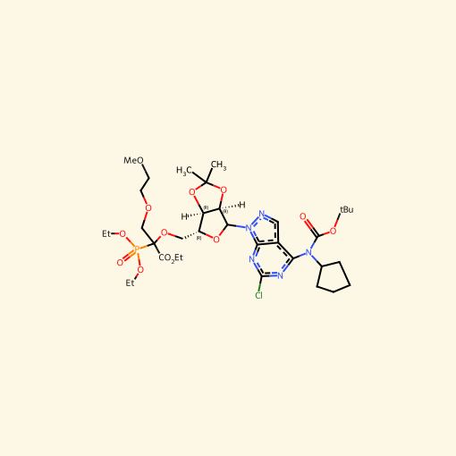 CCOC(=O)C(COCCOC)(OC[C@H]1OC(n2ncc3c(N(C(=O)OC(C)(C)C)C4CCCC4)nc(Cl)nc32)[C@@H]2OC(C)(C)O[C@H]12)P(=O)(OCC)OCC